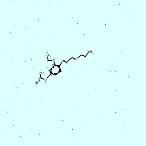 CCCOCCOc1ccc(OB(O)O)cc1OCC